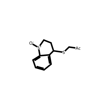 CC(=O)CSC1CC[S+]([O-])c2ccccc21